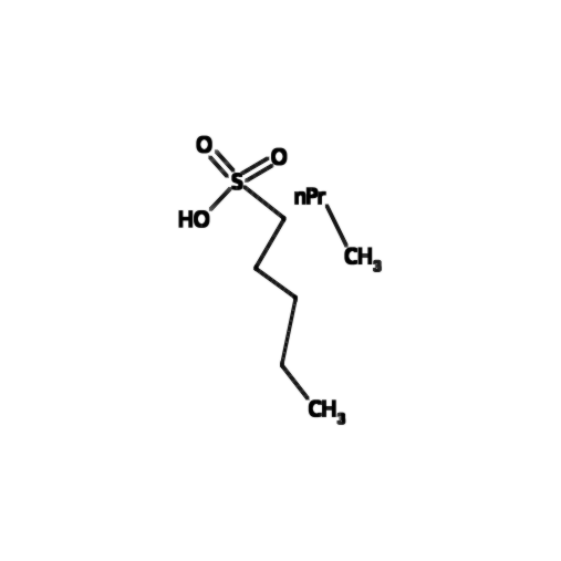 CCCC.CCCCCS(=O)(=O)O